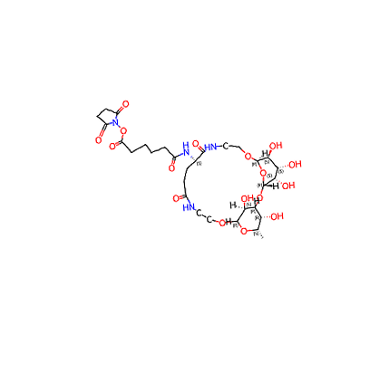 C[C@@H]1O[C@H]2OCCNC(=O)CC[C@H](NC(=O)CCCCC(=O)ON3C(=O)CCC3=O)C(=O)NCCO[C@@H]3O[C@@H](O[C@@H]([C@@H]2O)[C@@H]1O)[C@@H](O)[C@@H](O)[C@@H]3O